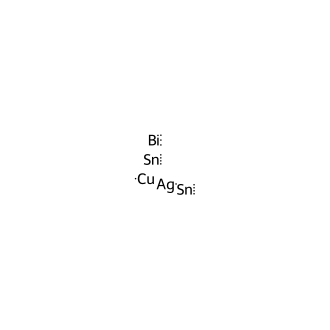 [Ag].[Bi].[Cu].[Sn].[Sn]